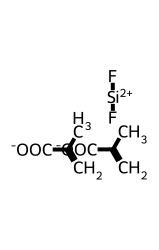 C=C(C)C(=O)[O-].C=C(C)C(=O)[O-].F[Si+2]F